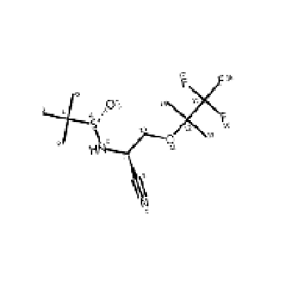 CC(C)(C)[S@+]([O-])N[C@H](C#N)COC(C)(C)C(F)(F)F